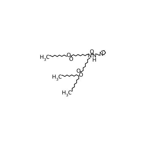 CCCCCCCCCOC(=O)CCCCCCCN(CCCCCCCC(=O)OC(CCCCCCCC)CCCCCCCC)C(=O)NCCN1CCCC1